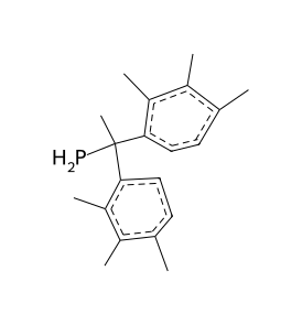 Cc1ccc(C(C)(P)c2ccc(C)c(C)c2C)c(C)c1C